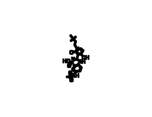 CC(C)(C)CCn1ccc(O)c(C2=NP(=O)(O)c3cc(NS(C)(=O)=O)ccc3N2)c1=O